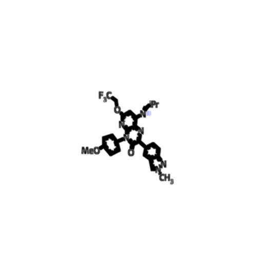 COc1ccc(-n2c(=O)c(-c3ccc4nn(C)cc4c3)nc3c(/N=C/C(C)C)cc(OCC(F)(F)F)nc32)cc1